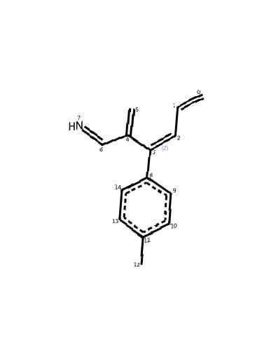 C=C/C=C(\C(=C)C=N)c1ccc(C)cc1